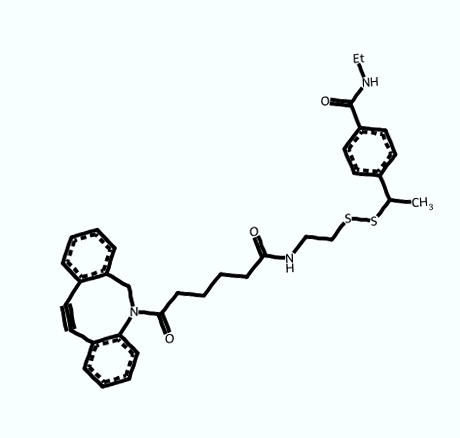 CCNC(=O)c1ccc(C(C)SSCCNC(=O)CCCCC(=O)N2Cc3ccccc3C#Cc3ccccc32)cc1